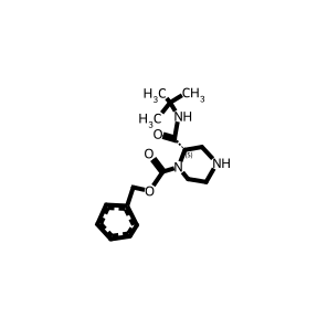 CC(C)(C)NC(=O)[C@@H]1CNCCN1C(=O)OCc1ccccc1